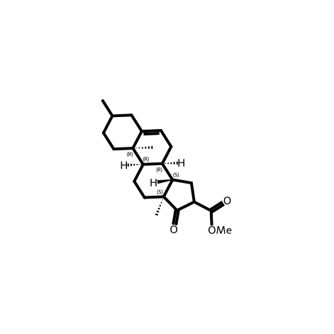 COC(=O)C1C[C@H]2[C@@H]3CC=C4CC(C)CC[C@]4(C)[C@@H]3CC[C@]2(C)C1=O